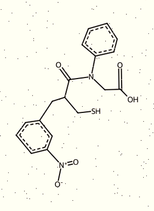 O=C(O)CN(C(=O)C(CS)Cc1cccc([N+](=O)[O-])c1)c1ccccc1